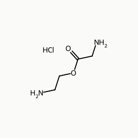 Cl.NCCOC(=O)CN